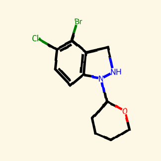 Clc1ccc2c(c1Br)CNN2C1CCCCO1